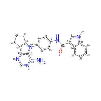 Cn1cc(C(=O)Nc2ccc(-n3c4c(c5ncnc(N)c53)CCC4)cc2)c2ccccc21